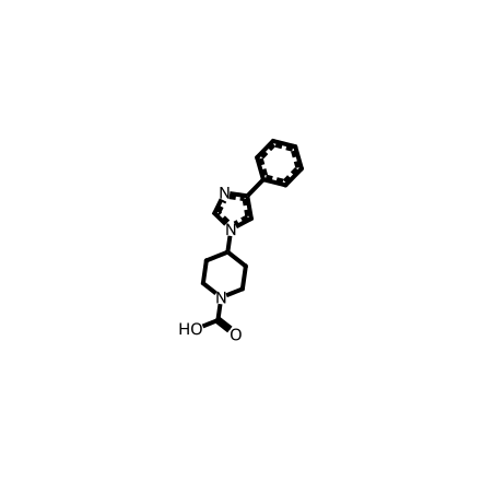 O=C(O)N1CCC(n2cnc(-c3ccccc3)c2)CC1